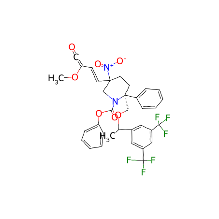 COC(=C=O)/C=C/C1([N+](=O)[O-])CC[C@@](COC(C)c2cc(C(F)(F)F)cc(C(F)(F)F)c2)(c2ccccc2)N(C(=O)Oc2ccccc2)C1